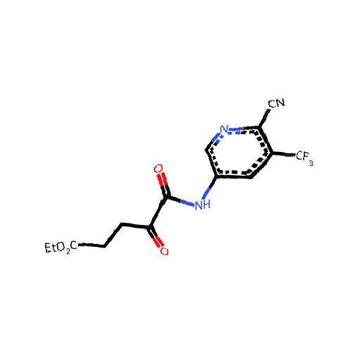 CCOC(=O)CCC(=O)C(=O)Nc1cnc(C#N)c(C(F)(F)F)c1